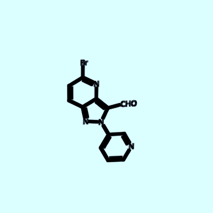 O=Cc1c2nc(Br)ccc2nn1-c1cccnc1